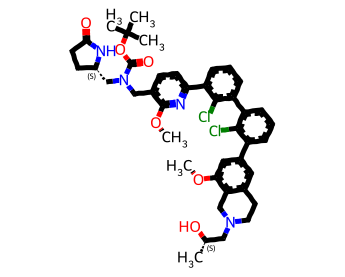 COc1cc(-c2cccc(-c3cccc(-c4ccc(CN(C[C@@H]5CCC(=O)N5)C(=O)OC(C)(C)C)c(OC)n4)c3Cl)c2Cl)cc2c1CN(C[C@H](C)O)CC2